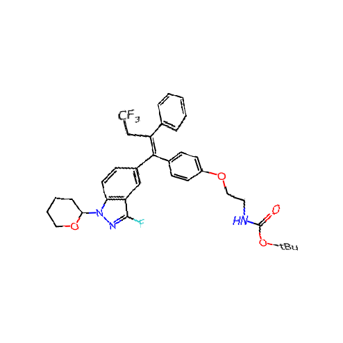 CC(C)(C)OC(=O)NCCOc1ccc(/C(=C(/CC(F)(F)F)c2ccccc2)c2ccc3c(c2)c(F)nn3C2CCCCO2)cc1